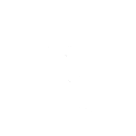 C=C(CC)c1ccc(NC(=O)C2CCN(S(=O)(=O)c3ccc(C)cc3C)CC2)cc1